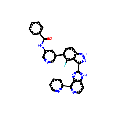 O=C(Nc1cncc(-c2ccc3[nH]nc(-c4nc5c(-c6ccccn6)nccc5[nH]4)c3c2F)c1)c1ccccc1